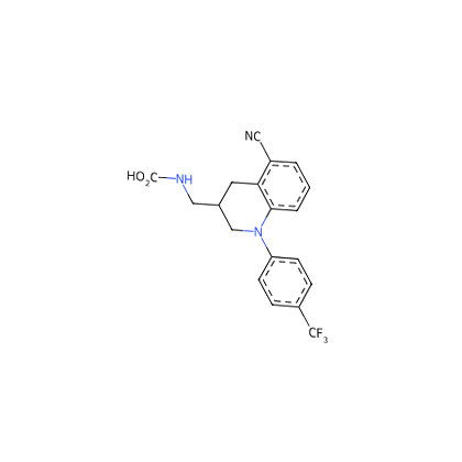 N#Cc1cccc2c1CC(CNC(=O)O)CN2c1ccc(C(F)(F)F)cc1